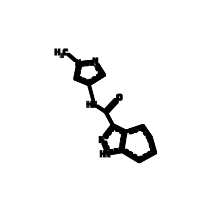 Cn1cc(NC(=O)c2n[nH]c3ccccc23)cn1